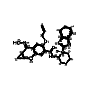 C=CCOc1cc2c(cc1C(=O)NC1CCCC[N@@+]1(C)c1nc3ccccc3s1)OC1CC1C2=NO